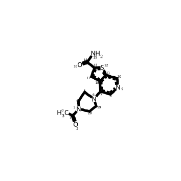 CC(=O)N1CCN(c2cncc3sc(C(N)=O)cc23)CC1